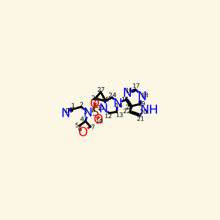 N#CCN(C1COC1)S(=O)(=O)N1CCN(c2ncnc3[nH]ccc23)CC12CC2